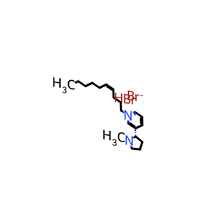 Br.CCCCC/C=C\CCC[n+]1cccc([C@@H]2CCCN2C)c1.[Br-]